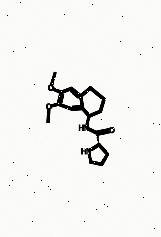 COc1cc2c(cc1OC)C(NC(=O)[C@@H]1CCCN1)CCC2